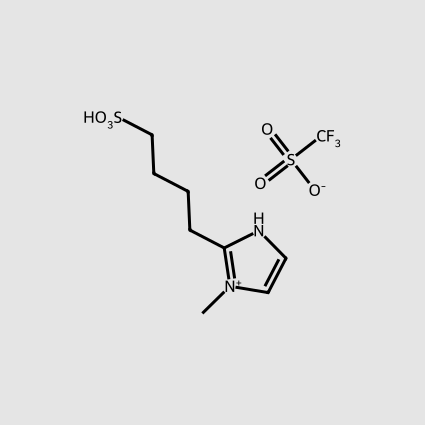 C[n+]1cc[nH]c1CCCCS(=O)(=O)O.O=S(=O)([O-])C(F)(F)F